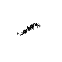 COc1ccc(CNC(=O)Nc2ccc(CN3CC(OC(F)F)C3)cc2)cc1